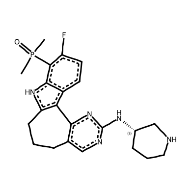 CP(C)(=O)c1c(F)ccc2c3c([nH]c12)CCCc1cnc(N[C@H]2CCCNC2)nc1-3